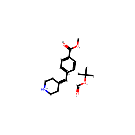 CC(C)(C)OC=O.COC(=O)c1ccc(C=C2CCNCC2)cc1